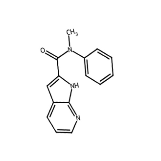 CN(C(=O)c1cc2cccnc2[nH]1)c1ccccc1